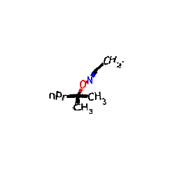 [CH2]C=NOC(C)(C)CCC